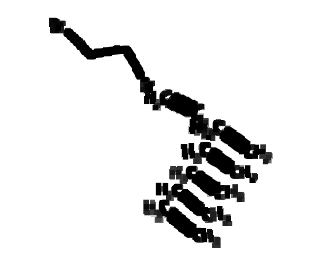 BrCCBr.C=C.C=C.C=C.C=C.C=C.C=C